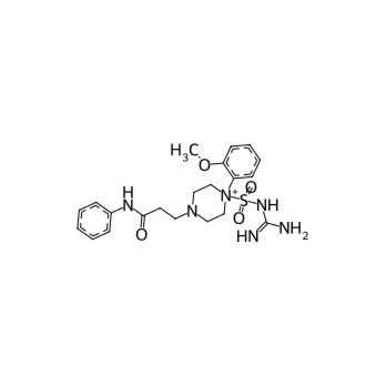 COc1ccccc1[N+]1(S(=O)(=O)NC(=N)N)CCN(CCC(=O)Nc2ccccc2)CC1